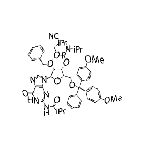 COc1ccc(C(OCC2O[C@@H](n3cnc4c(=O)[nH]c(NC(=O)C(C)C)nc43)[C@H](OCc3ccccc3)[C@@H]2OP(OCCC#N)N(C(C)C)C(C)C)(c2ccccc2)c2ccc(OC)cc2)cc1